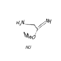 COC(=N)N.Cl